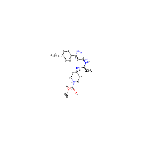 C=C(/N=C\C=C(/N)c1ccc(NC(C)=O)cc1)NC1CCN(C(=O)OC(C)(C)C)CC1